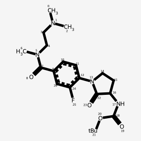 CN(C)CCN(C)C(=O)c1ccc(N2CCC(NC(=O)OC(C)(C)C)C2=O)c(F)c1